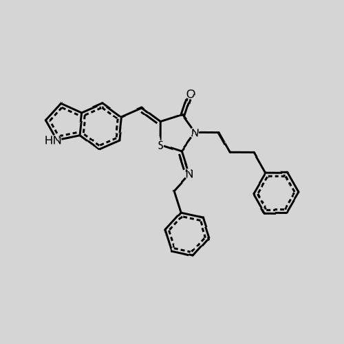 O=C1/C(=C/c2ccc3[nH]ccc3c2)S/C(=N\Cc2ccccc2)N1CCCc1ccccc1